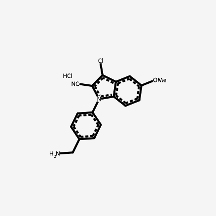 COc1ccc2c(c1)c(Cl)c(C#N)n2-c1ccc(CN)cc1.Cl